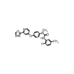 Cc1ccc(F)c(NC(=O)N(C)c2ccc(Oc3ccnc(-c4nnco4)c3)cc2)c1